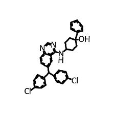 OC1(c2ccccc2)CCC(Nc2ncnc3ccc(C(c4ccc(Cl)cc4)c4ccc(Cl)cc4)cc23)CC1